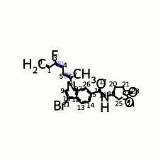 C=C/C(F)=C\C=C(/C)n1cc(Br)c2ccc(C(=O)NC3CCS(=O)(=O)C3)cc21